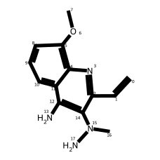 C=Cc1nc2c(OC)cccc2c(N)c1N(C)N